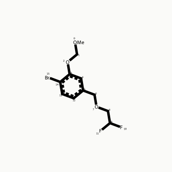 COCOc1cc(COCC(F)F)ccc1Br